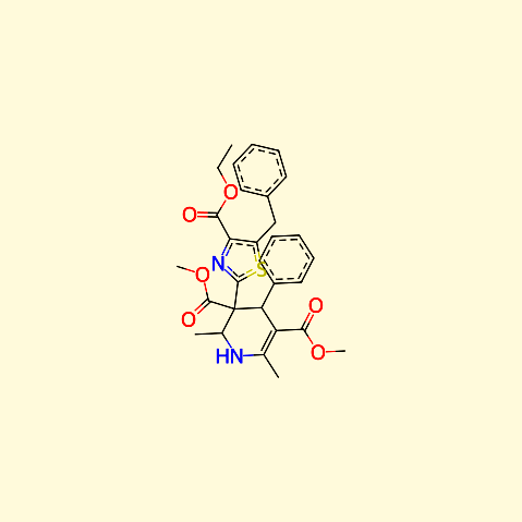 CCOC(=O)c1nc(C2(C(=O)OC)C(C)NC(C)=C(C(=O)OC)C2c2ccccc2)sc1Cc1ccccc1